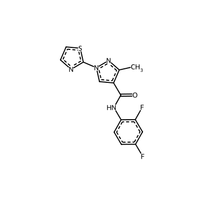 Cc1nn(-c2nccs2)cc1C(=O)Nc1ccc(F)cc1F